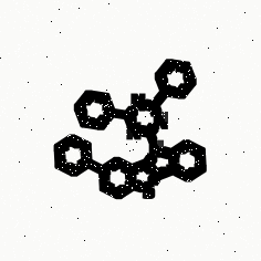 c1ccc(-c2ccc3sc4c5ccccc5n(-c5nc(-c6ccccc6)nc(-c6ccccc6)n5)c4c3c2)cc1